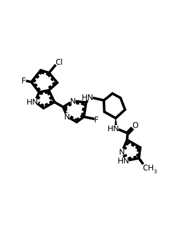 Cc1cc(C(=O)N[C@@H]2CCCC(Nc3nc(-c4c[nH]c5c(F)cc(Cl)cc45)ncc3F)C2)n[nH]1